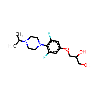 CC(C)N1CCN(c2c(F)cc(OCC(O)CO)cc2F)CC1